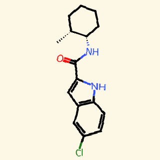 C[C@@H]1CCCC[C@@H]1NC(=O)c1cc2cc(Cl)ccc2[nH]1